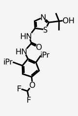 CC(C)c1cc(OC(F)F)cc(C(C)C)c1NC(=O)Nc1cnc(C(C)(C)O)s1